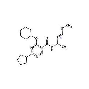 CS/C=C/C(C)NC(=O)c1cnc(C2CCCC2)nc1OC1CCCCC1